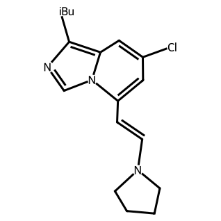 CCC(C)c1ncn2c(/C=C/N3CCCC3)cc(Cl)cc12